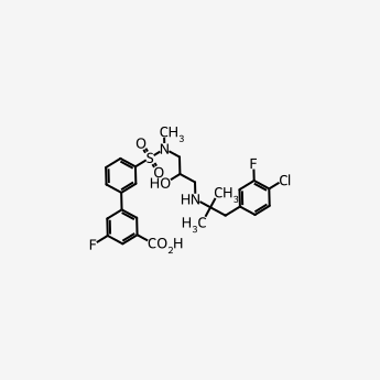 CN(CC(O)CNC(C)(C)Cc1ccc(Cl)c(F)c1)S(=O)(=O)c1cccc(-c2cc(F)cc(C(=O)O)c2)c1